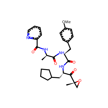 COc1ccc(C[C@H](NC(=O)[C@@H](C)NC(=O)c2ccccn2)C(=O)N[C@@H](CC2CCCC2)C(=O)[C@@]2(C)CO2)cc1